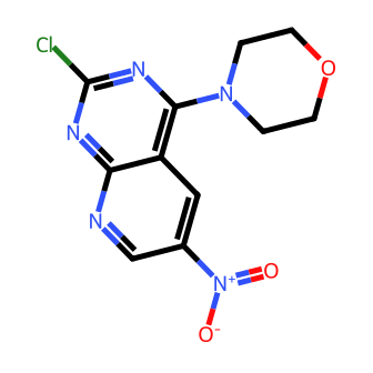 O=[N+]([O-])c1cnc2nc(Cl)nc(N3CCOCC3)c2c1